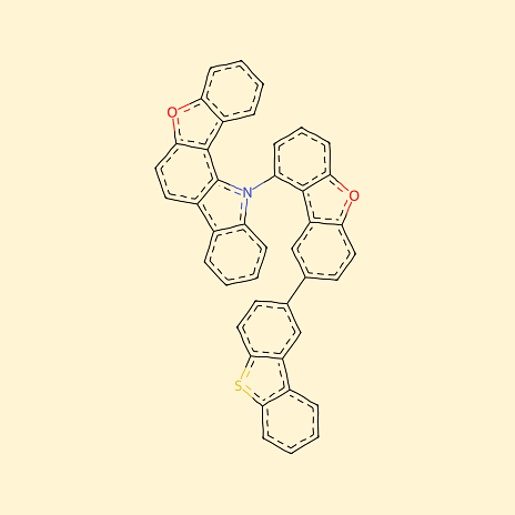 c1ccc2c(c1)oc1ccc3c4ccccc4n(-c4cccc5oc6ccc(-c7ccc8sc9ccccc9c8c7)cc6c45)c3c12